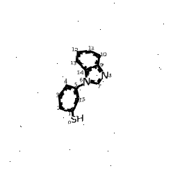 Sc1cccc(-n2cnc3ccccc32)c1